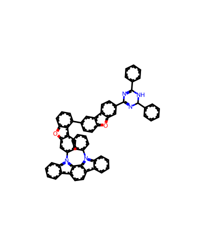 c1ccc(C2=NC(c3ccc4c(c3)oc3ccc(-c5cccc6oc7cc(-n8c9ccccc9c9ccc%10c%11ccccc%11n(-c%11ccccc%11)c%10c98)ccc7c56)cc34)=NC(c3ccccc3)N2)cc1